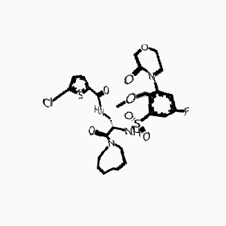 COc1c(N2CCOCC2=O)cc(F)cc1S(=O)(=O)N[C@@H](CNC(=O)c1ccc(Cl)s1)C(=O)N1CCCCCC1